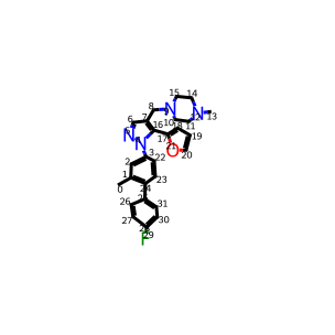 Cc1cc(-n2ncc(CN3CCN(C)CC3)c2-c2ccco2)ccc1-c1ccc(F)cc1